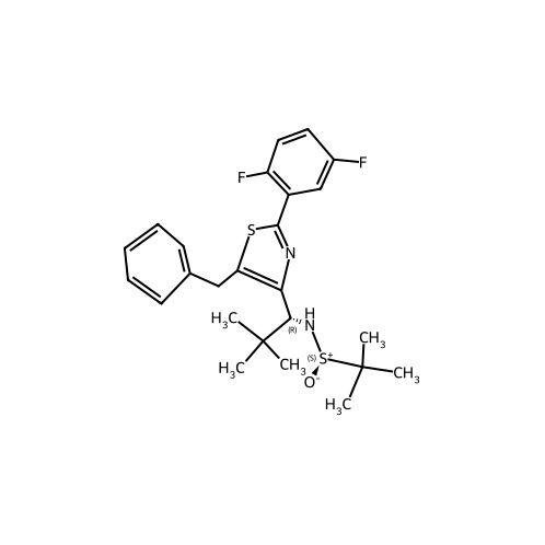 CC(C)(C)[C@@H](N[S@+]([O-])C(C)(C)C)c1nc(-c2cc(F)ccc2F)sc1Cc1ccccc1